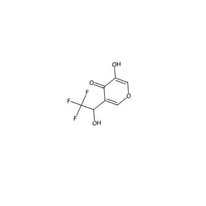 O=c1c(O)cocc1C(O)C(F)(F)F